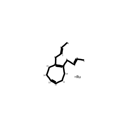 CC=CCC1=C(CC=CC)CCC=CCC1.[Ru]